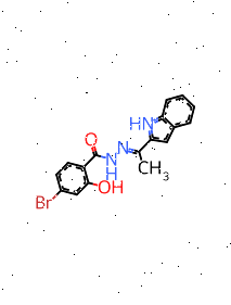 C/C(=N\NC(=O)c1ccc(Br)cc1O)c1cc2ccccc2[nH]1